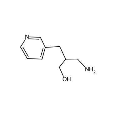 NCC(CO)Cc1cccnc1